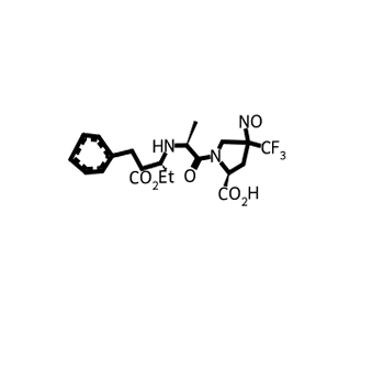 CCOC(=O)[C@H](CCc1ccccc1)N[C@@H](C)C(=O)N1CC(N=O)(C(F)(F)F)C[C@H]1C(=O)O